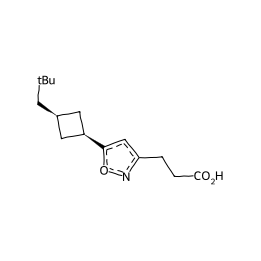 CC(C)(C)C[C@H]1C[C@@H](c2cc(CCC(=O)O)no2)C1